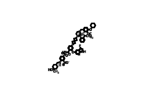 COc1cc(CN2CCN(C3CC4(C3)CN(c3ccc(C(=O)NS(=O)(=O)c5ccc(NCC6CCC(C)(O)CC6)c([N+](=O)[O-])c5)c(Oc5cnc6[nH]cc(F)c6c5)c3)C4)[C@H](c3ccccc3C(C)C)C2)ccc1OC1CCCCC1